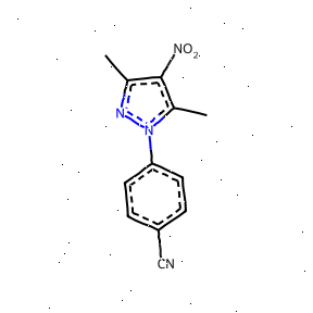 Cc1nn(-c2ccc(C#N)cc2)c(C)c1[N+](=O)[O-]